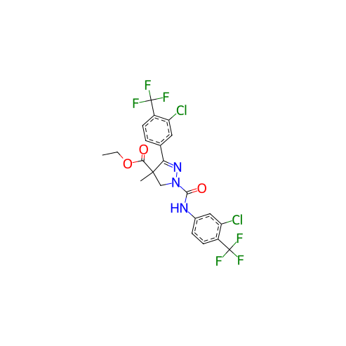 CCOC(=O)C1(C)CN(C(=O)Nc2ccc(C(F)(F)F)c(Cl)c2)N=C1c1ccc(C(F)(F)F)c(Cl)c1